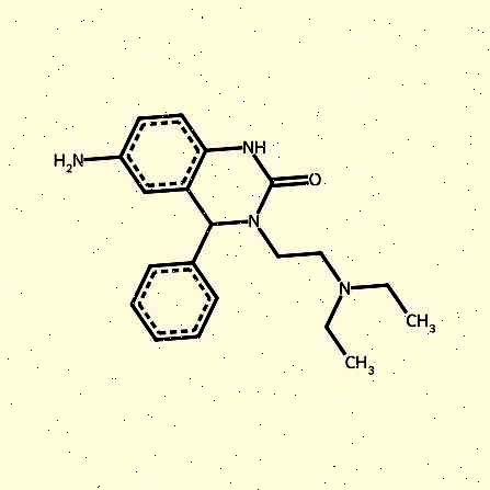 CCN(CC)CCN1C(=O)Nc2ccc(N)cc2C1c1ccccc1